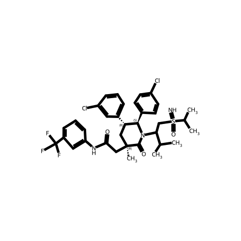 CC(C)C(CS(=N)(=O)C(C)C)N1C(=O)[C@@](C)(CC(=O)Nc2cccc(C(F)(F)F)c2)C[C@H](c2cccc(Cl)c2)[C@H]1c1ccc(Cl)cc1